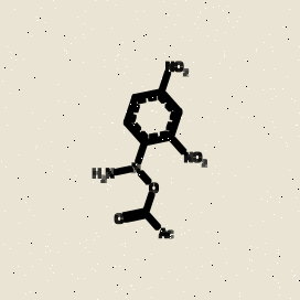 CC(=O)C(=O)ON(N)c1ccc([N+](=O)[O-])cc1[N+](=O)[O-]